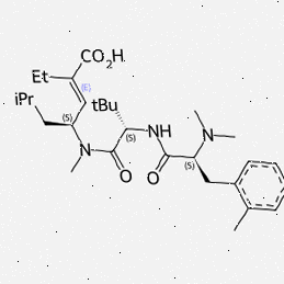 CC/C(=C\[C@H](CC(C)C)N(C)C(=O)[C@@H](NC(=O)[C@H](Cc1ccccc1C)N(C)C)C(C)(C)C)C(=O)O